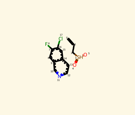 C=CC[SH](=O)=O.Fc1cc2cnccc2cc1Cl